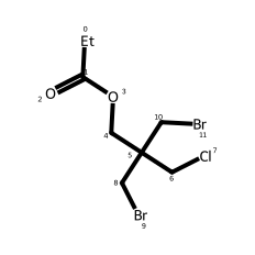 CCC(=O)OCC(CCl)(CBr)CBr